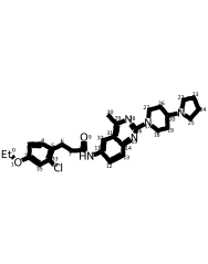 CCOc1ccc(CCC(=O)Nc2ccc3nc(N4CCC(N5CCCC5)CC4)nc(C)c3c2)c(Cl)c1